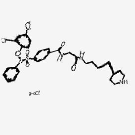 Cl.O=C(CNC(=O)c1ccc(S(=O)(=O)N(Oc2ccc(Cl)cc2Cl)c2ccccc2)cc1)NCCCCC1CCNCC1